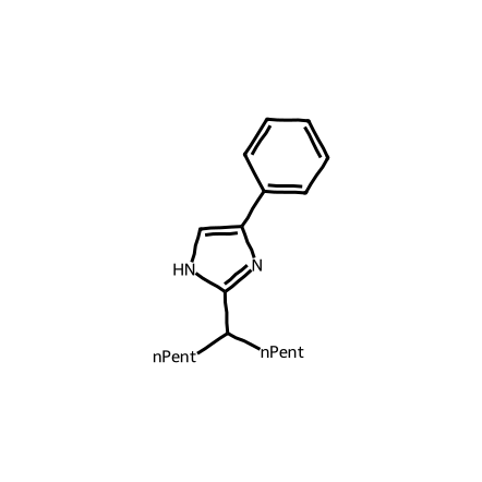 CCCCCC(CCCCC)c1nc(-c2ccccc2)c[nH]1